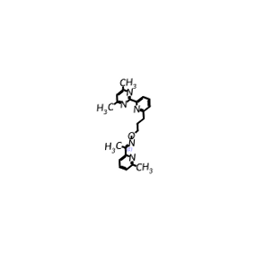 C/C(=N\OCCCc1cccc(-c2nc(C)cc(C)n2)n1)c1cccc(C)n1